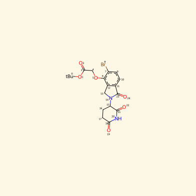 CC(C)(C)OC(=O)COc1c(Br)ccc2c1CN(C1CCC(=O)NC1=O)C2=O